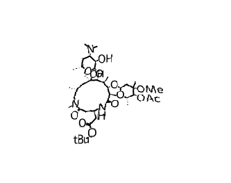 CO[C@]1(C)C[C@H](O[C@H]2[C@H](C)[C@@H](O[C@@H]3O[C@H](C)C[C@H](N(C)C)[C@H]3O)[C@](C)(O)C[C@@H](C)CN(C)C(=O)C[C@H](CC(=O)OC(C)(C)C)NC(=O)[C@@H]2C)O[C@@H](C)[C@@H]1OC(C)=O